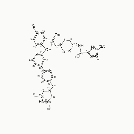 CCc1nc(C(=O)N[C@H]2CC[C@@H](NC(=O)c3cc(F)cnc3Oc3cccc(-c4ccc(CN5C[C@@H](C)N[C@@H](C)C5)cc4)c3)CC2)cs1